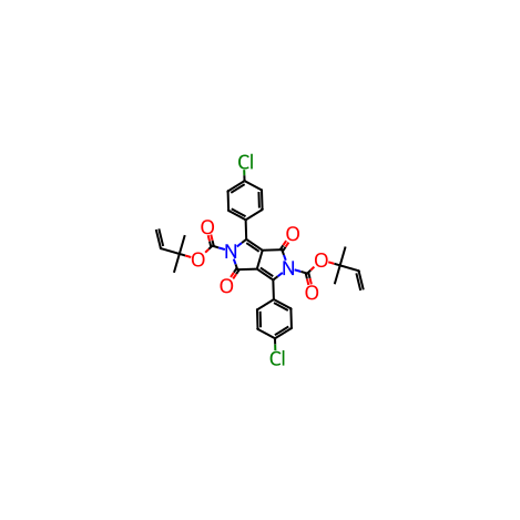 C=CC(C)(C)OC(=O)N1C(=O)C2=C(c3ccc(Cl)cc3)N(C(=O)OC(C)(C)C=C)C(=O)C2=C1c1ccc(Cl)cc1